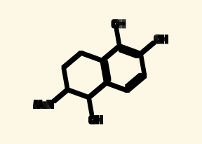 CNC1CCc2c(ccc(O)c2O)C1O